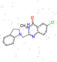 C[C@H]1Cc2ccccc2N1Cc1nc2ccc(Cl)cc2c(=O)[nH]1